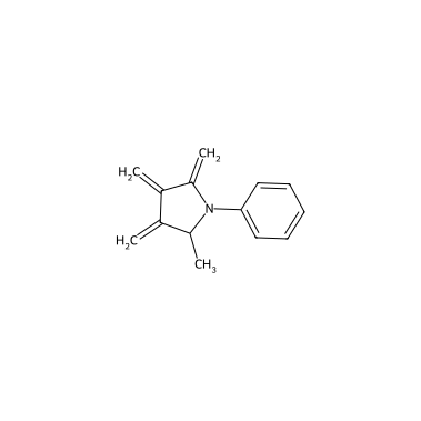 C=C1C(=C)C(C)N(c2ccccc2)C1=C